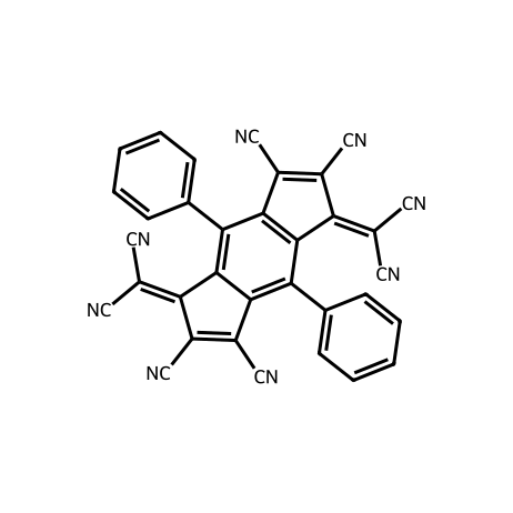 N#CC(C#N)=C1C(C#N)=C(C#N)c2c1c(-c1ccccc1)c1c(c2-c2ccccc2)C(=C(C#N)C#N)C(C#N)=C1C#N